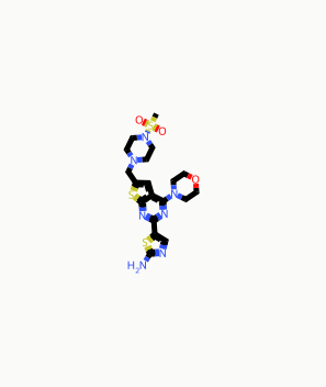 CS(=O)(=O)N1CCN(Cc2cc3c(N4CCOCC4)nc(-c4cnc(N)s4)nc3s2)CC1